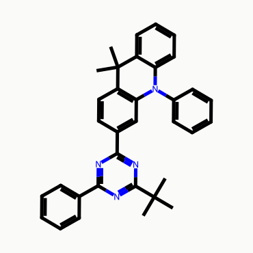 CC(C)(C)c1nc(-c2ccccc2)nc(-c2ccc3c(c2)N(c2ccccc2)c2ccccc2C3(C)C)n1